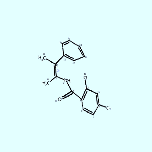 [CH2]/C(NC(=O)c1ccc(Cl)cc1Cl)=C(\C)c1ccccc1